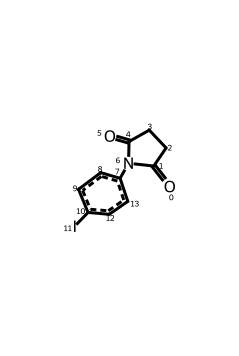 O=C1CCC(=O)N1c1ccc(I)cc1